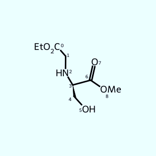 CCOC(=O)CN[C@H](CO)C(=O)OC